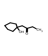 CCC(=O)CC1(O)CCCCC1